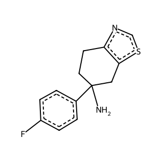 NC1(c2ccc(F)cc2)CCc2ncsc2C1